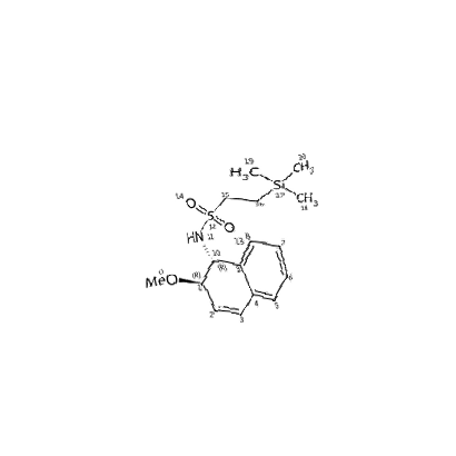 CO[C@@H]1C=Cc2ccccc2[C@H]1NS(=O)(=O)CC[Si](C)(C)C